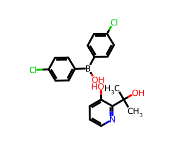 CC(C)(O)c1ncccc1O.OB(c1ccc(Cl)cc1)c1ccc(Cl)cc1